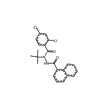 CC(C)(C)N(NC(=O)c1cccc2ccccc12)C(=O)c1ccc(Cl)cc1Cl